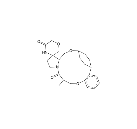 CC1COc2ccccc2C2CCC(CC2)OCC2N(CCC23COCC(=O)N3)C1=O